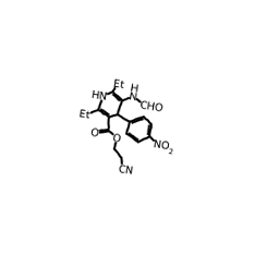 CCC1=C(NC=O)C(c2ccc([N+](=O)[O-])cc2)C(C(=O)OCCC#N)=C(CC)N1